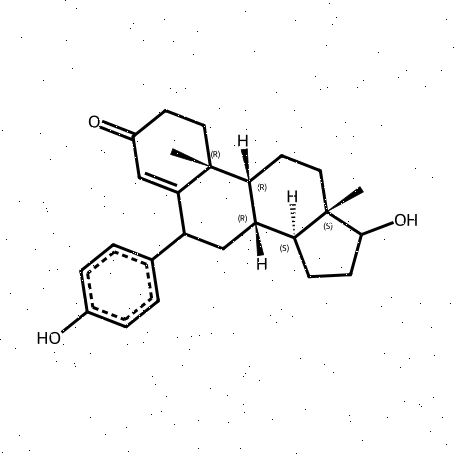 C[C@]12CCC(=O)C=C1C(c1ccc(O)cc1)C[C@@H]1[C@H]2CC[C@]2(C)C(O)CC[C@@H]12